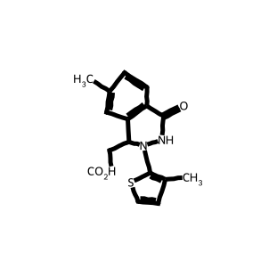 Cc1ccc2c(c1)C(CC(=O)O)N(c1sccc1C)NC2=O